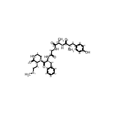 CSCC[C@H]1C(=O)NCCN1C(=O)[C@H](Cc1ccccc1)NC(=O)CNC(=O)[C@@H](C)NC(=O)[C@@H](N)Cc1ccc(O)cc1